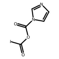 O=C(I)OC(=O)n1ccnc1